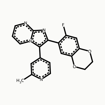 Cc1cc(-c2c(-c3cc4c(cc3F)OCCO4)nc3ncccn23)ccn1